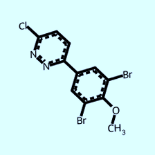 COc1c(Br)cc(-c2ccc(Cl)nn2)cc1Br